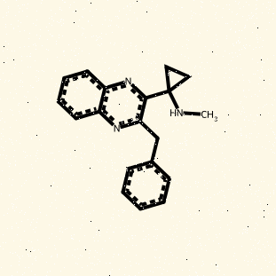 CNC1(c2nc3ccccc3nc2Cc2ccccc2)CC1